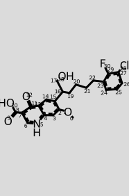 COc1cc2[nH]cc(C(=O)O)c(=O)c2cc1C(CO)CCCCc1cccc(Cl)c1F